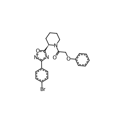 O=C(COc1ccccc1)N1CCCC[C@@H]1c1nc(-c2ccc(Br)cc2)no1